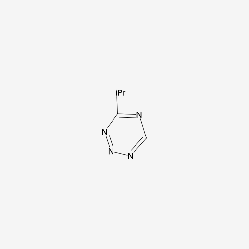 CC(C)c1ncnnn1